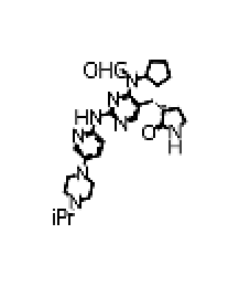 CC(C)N1CCN(c2ccc(Nc3ncc(C[C@@H]4CCNC4=O)c(N(C=O)C4CCCC4)n3)nc2)CC1